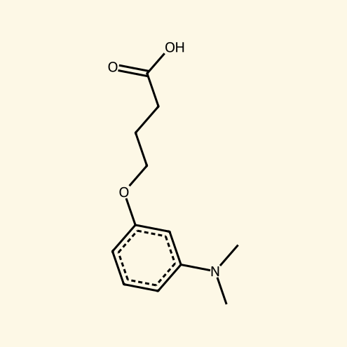 CN(C)c1cccc(OCCCC(=O)O)c1